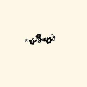 O=C(NCc1ccc2c(c1)OCO2)C12CC(CN1Cc1ccc(Br)s1)C2